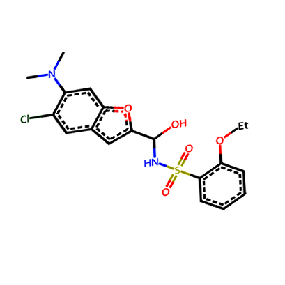 CCOc1ccccc1S(=O)(=O)NC(O)c1cc2cc(Cl)c(N(C)C)cc2o1